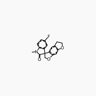 CN1C(=O)C2(COc3cc4c(cc32)CCO4)c2cc(F)ccc21